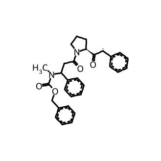 CN(C(=O)OCc1ccccc1)C(CC(=O)N1CCC[C@H]1C(=O)[CH]c1ccccc1)c1ccccc1